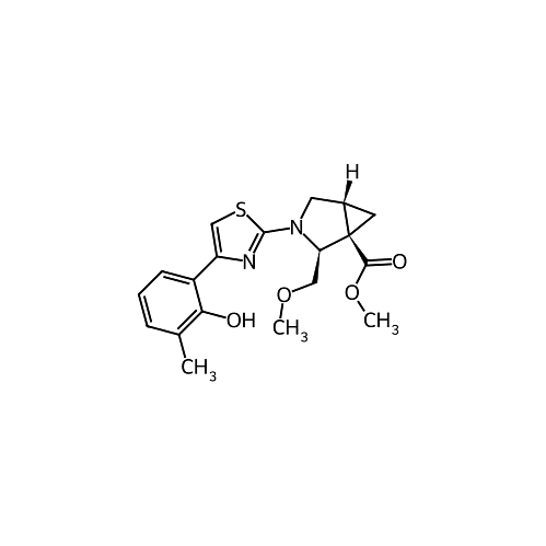 COC[C@H]1N(c2nc(-c3cccc(C)c3O)cs2)C[C@@H]2C[C@@]21C(=O)OC